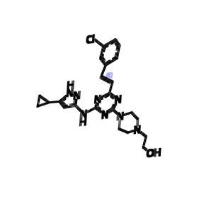 OCCN1CCN(c2nc(/C=C/c3cccc(Cl)c3)nc(Nc3cc(C4CC4)[nH]n3)n2)CC1